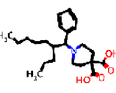 CCCCCC(CCC)C(c1ccccc1)N1CCC(C(=O)O)(C(=O)O)CC1